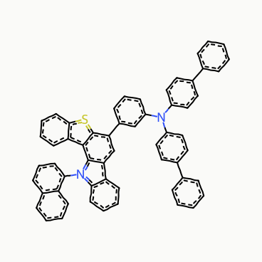 c1ccc(-c2ccc(N(c3ccc(-c4ccccc4)cc3)c3cccc(-c4cc5c6ccccc6n(-c6cccc7ccccc67)c5c5c4sc4ccccc45)c3)cc2)cc1